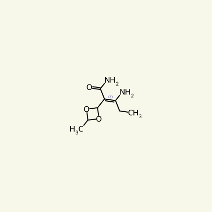 CC/C(N)=C(/C(N)=O)C1OC(C)O1